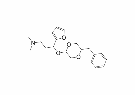 CN(C)CCC(OC1COC(Cc2ccccc2)CO1)c1ccco1